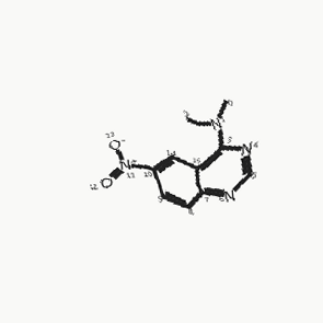 CN(C)c1ncnc2ccc([N+](=O)[O-])cc12